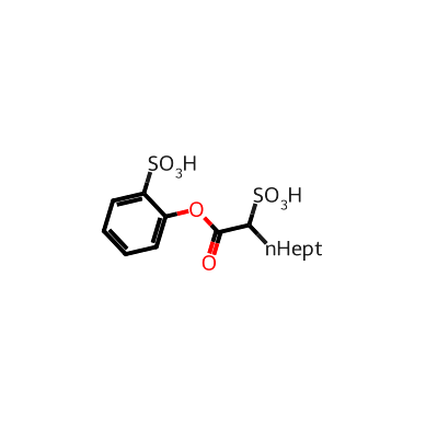 CCCCCCCC(C(=O)Oc1ccccc1S(=O)(=O)O)S(=O)(=O)O